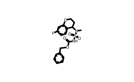 CN(C1CCOc2cc(F)ccc21)S(=O)(=O)NC(=O)OCc1ccccc1